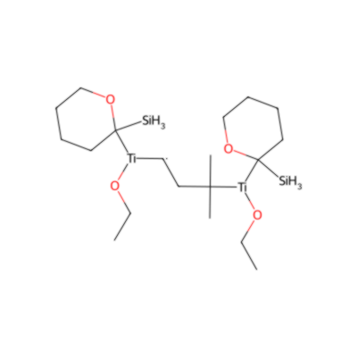 CC[O][Ti]([CH]C[C](C)(C)[Ti]([O]CC)[C]1([SiH3])CCCCO1)[C]1([SiH3])CCCCO1